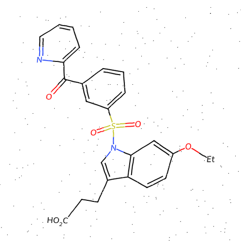 CCOc1ccc2c(CCC(=O)O)cn(S(=O)(=O)c3cccc(C(=O)c4ccccn4)c3)c2c1